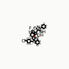 CN1C(=CC2C(O)C(c3c(C(F)(F)F)nn(-c4ccccc4)c3O)C2O)C(Cc2ccc(Cl)cc2)(Cc2ccc(Cl)cc2)c2ccccc21